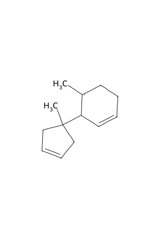 C[C]1CCC=CC1C1(C)CC=CC1